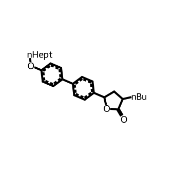 CCCCCCCOc1ccc(-c2ccc(C3CC(CCCC)C(=O)O3)cc2)cc1